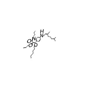 C=CCOc1c(OCCCCCC)c2ccc(NCC=C(C)CCC=C(C)C)cc2n(CCCC)c1=O